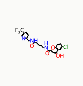 O=C(CCCCNC(=O)[C@@H]1C[C@@H](O)c2cc(Cl)ccc2O1)NCc1ccc(C(F)(F)F)cn1